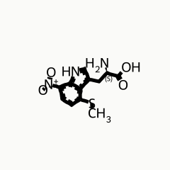 CSc1ccc([N+](=O)[O-])c2[nH]cc(C[C@H](N)C(=O)O)c12